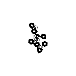 c1ccc(-c2cc(-c3ccc4c(c3)oc3ccccc34)nc(-n3c4ccccc4c4cc5c6ccccc6n(-c6ccccc6)c5cc43)n2)cc1